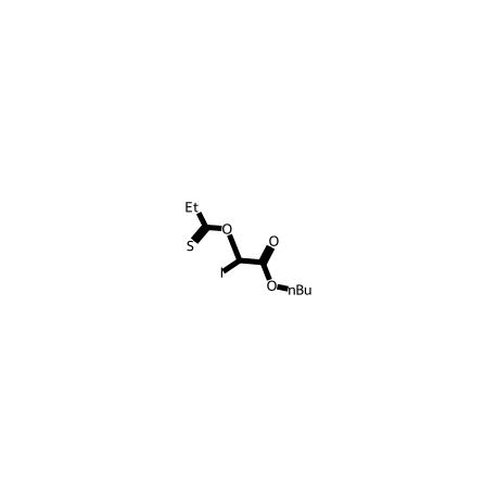 CCCCOC(=O)C(I)OC(=S)CC